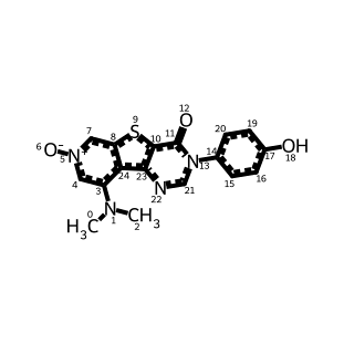 CN(C)c1c[n+]([O-])cc2sc3c(=O)n(-c4ccc(O)cc4)cnc3c12